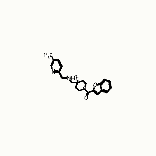 Cc1ccc(CNCC2(F)CCN(C(=O)c3cc4ccccc4o3)CC2)nc1